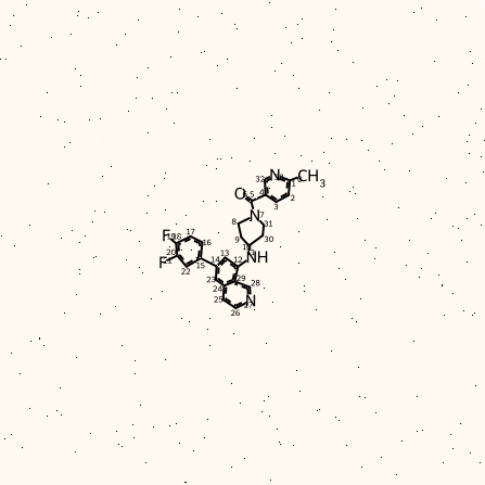 Cc1ccc(C(=O)N2CCC(Nc3cc(-c4ccc(F)c(F)c4)cc4ccncc34)CC2)cn1